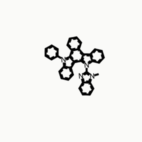 Cn1c(-n2c3ccccc3c3c4ccccc4c4c(c5ccccc5n4-c4ccccc4)c32)nc2ccccc21